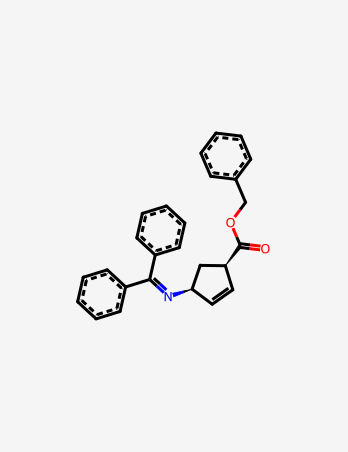 O=C(OCc1ccccc1)[C@H]1C=C[C@@H](N=C(c2ccccc2)c2ccccc2)C1